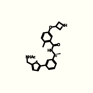 CC(=O)NCc1ccc(-c2cccc([C@@H](C)NC(=O)c3cc(OC4CNC4)ccc3C)c2)s1